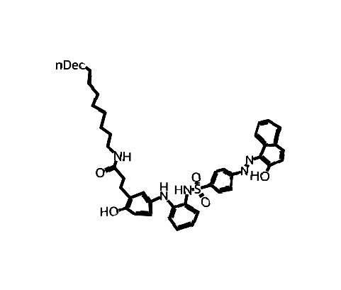 CCCCCCCCCCCCCCCCCCNC(=O)CCc1cc(Nc2ccccc2NS(=O)(=O)c2ccc(N=Nc3c(O)ccc4ccccc34)cc2)ccc1O